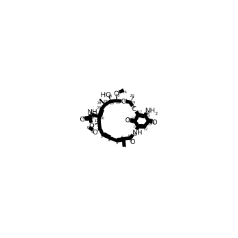 CO[C@H]1/C=C\C=C(\C)C(=O)NC2=CC(=O)C(N)=C(C[C@@H](C)C[C@@H](OC)[C@@H](O)[C@H](C)/C=C(/C)[C@H]1OC(N)=O)C2=O